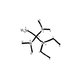 CCN(CC)C([SiH3])(N(C)C)N(C)C